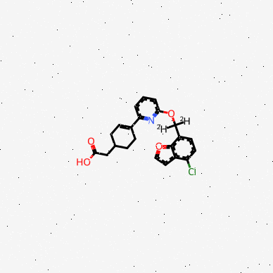 [2H]C([2H])(Oc1cccc(C2=CCC(CC(=O)O)CC2)n1)c1ccc(Cl)c2ccoc12